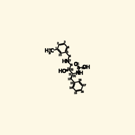 Cc1cccc(CNC[C@H](O)[C@H](Cc2ccccc2)NC(=O)O)c1